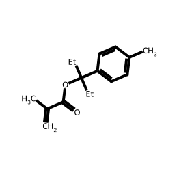 C=C(C)C(=O)OC(CC)(CC)c1ccc(C)cc1